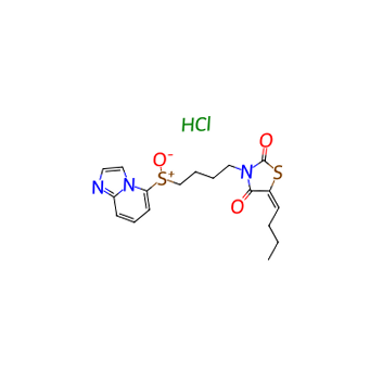 CCCC=C1SC(=O)N(CCCC[S+]([O-])c2cccc3nccn23)C1=O.Cl